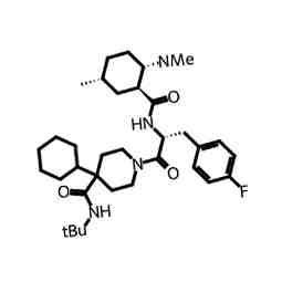 CN[C@H]1CC[C@@H](C)C[C@@H]1C(=O)N[C@H](Cc1ccc(F)cc1)C(=O)N1CCC(C(=O)NC(C)(C)C)(C2CCCCC2)CC1